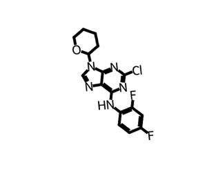 Fc1ccc(Nc2nc(Cl)nc3c2ncn3C2CCCCO2)c(F)c1